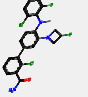 CN(c1ccc(-c2cccc(C(N)=O)c2Cl)cc1N1CC(F)C1)c1c(F)cccc1Cl